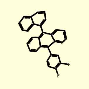 Fc1ccc(-c2c3ccccc3c(-c3cccc4ccccc34)c3ccccc23)cc1F